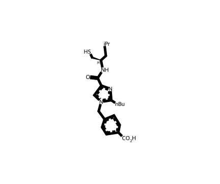 CCCCc1nc(C(=O)N[C@@H](CS)CC(C)C)cn1Cc1ccc(C(=O)O)cc1